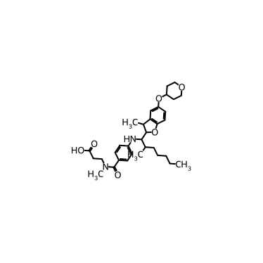 CCCCCC(C)C(Nc1ccc(C(=O)N(C)CCC(=O)O)cc1)C1Oc2ccc(OC3CCOCC3)cc2C1C